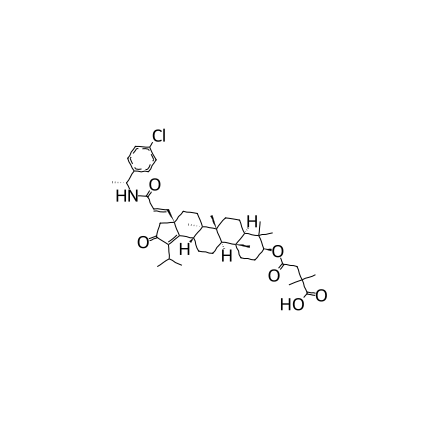 CC(C)C1=C2[C@H]3CC[C@@H]4[C@@]5(C)CC[C@H](OC(=O)CC(C)(C)C(=O)O)C(C)(C)[C@@H]5CC[C@@]4(C)[C@]3(C)CC[C@@]2(/C=C/C(=O)N[C@H](C)c2ccc(Cl)cc2)CC1=O